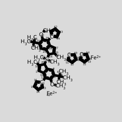 COc1c(C(C)(C)C)cc2c(c1-[c-]1cccc1)C=C(C)C2[Si](C)(C)C1C(C)=Cc2c1cc(C(C)(C)C)c(OC)c2-[c-]1cccc1.[Fe+2].[Fe+2].c1cc[cH-]c1.c1cc[cH-]c1